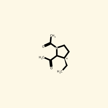 CC[C@@H]1CCN(C(C)=O)C1C(C)=O